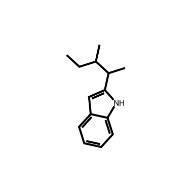 CCC(C)C(C)c1cc2ccccc2[nH]1